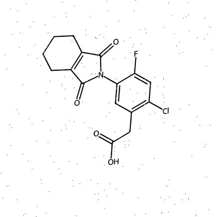 O=C(O)Cc1cc(N2C(=O)C3=C(CCCC3)C2=O)c(F)cc1Cl